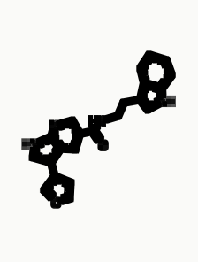 O=C(NCCc1c[nH]c2ccccc12)c1cnc2[nH]cc(-c3ccoc3)c2c1